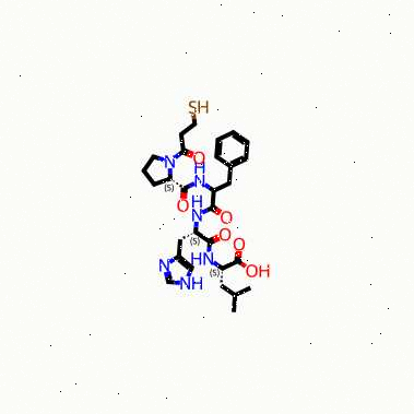 CC(C)C[C@H](NC(=O)[C@H](Cc1c[nH]cn1)NC(=O)C(Cc1ccccc1)NC(=O)[C@@H]1CCCN1C(=O)CCS)C(=O)O